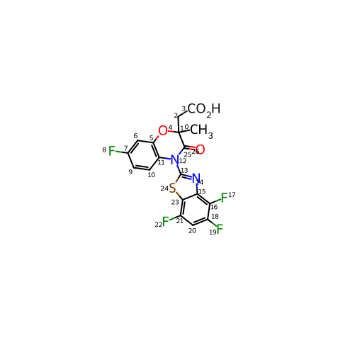 CC1(CC(=O)O)Oc2cc(F)ccc2N(c2nc3c(F)c(F)cc(F)c3s2)C1=O